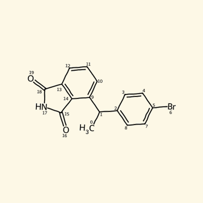 CC(c1ccc(Br)cc1)c1cccc2c1C(=O)NC2=O